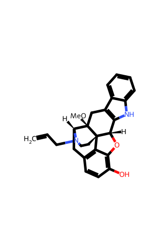 C=CCN1CC[C@]23c4c5ccc(O)c4O[C@H]2c2[nH]c4ccccc4c2C[C@@]3(OC)[C@H]1C5